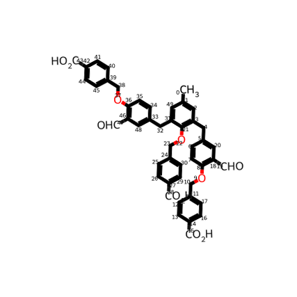 Cc1cc(Cc2ccc(OCc3ccc(C(=O)O)cc3)c(C=O)c2)c(OCc2ccc(C(=O)O)cc2)c(Cc2ccc(OCc3ccc(C(=O)O)cc3)c(C=O)c2)c1